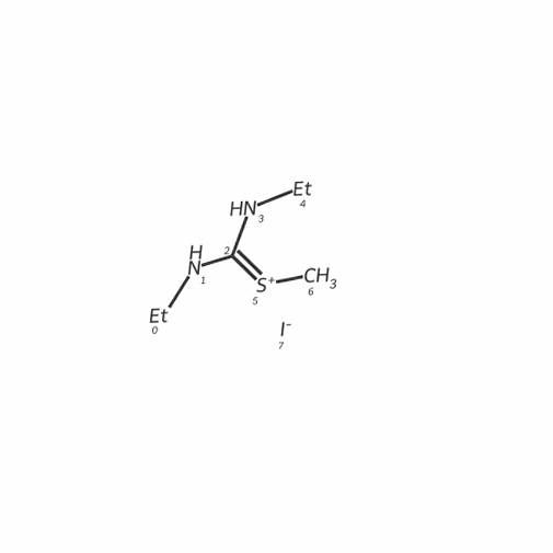 CCNC(NCC)=[S+]C.[I-]